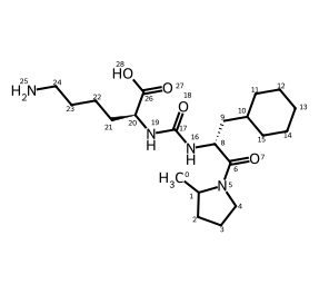 CC1CCCN1C(=O)[C@@H](CC1CCCCC1)NC(=O)N[C@@H](CCCCN)C(=O)O